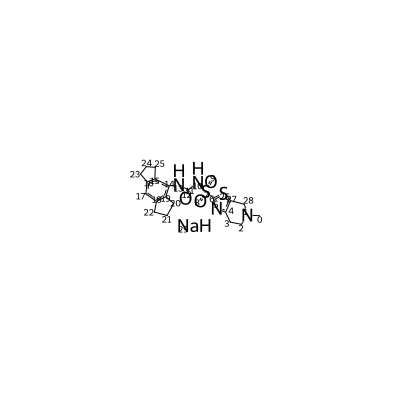 CN1CCc2nc(S(=O)(=O)NC(=O)Nc3c4c(cc5c3CCC5)CCC4)sc2C1.[NaH]